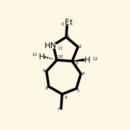 CCC1C[C@@H]2CCC(C)CC[C@H]2N1